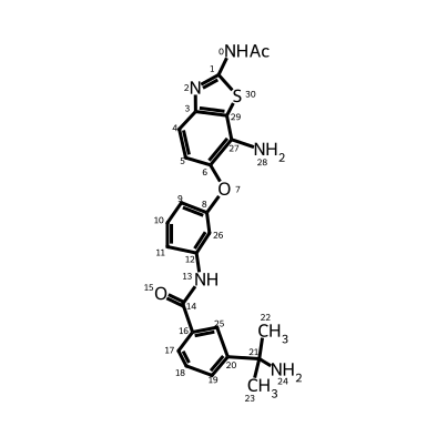 CC(=O)Nc1nc2ccc(Oc3cccc(NC(=O)c4cccc(C(C)(C)N)c4)c3)c(N)c2s1